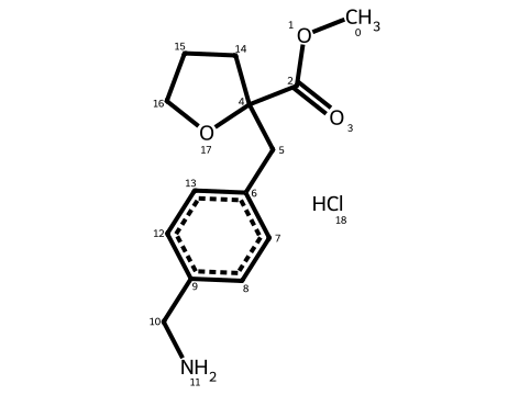 COC(=O)C1(Cc2ccc(CN)cc2)CCCO1.Cl